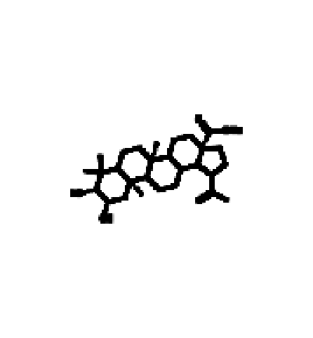 C=C(C)[C@@H]1CC[C@]2(C(=O)OC)CCC3C(CCC4[C@@]3(C)CCC3C(C)(C)[C@@H](O)[C@H](O)C[C@@]34C)C12